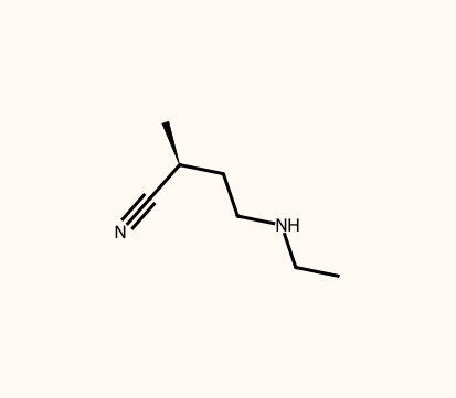 CCNCC[C@H](C)C#N